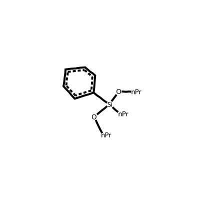 CCCO[Si](CCC)(OCCC)c1ccccc1